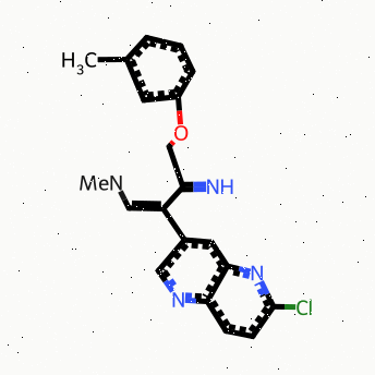 CN/C=C(\C(=N)COc1cccc(C)c1)c1cnc2ccc(Cl)nc2c1